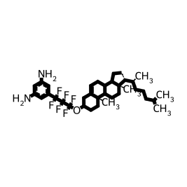 CC(C)CCC[C@@H](C)[C@H]1CCC2C3CC=C4CC(OC(F)(F)C(F)(F)C(F)(F)c5cc(N)cc(N)c5)CC[C@]4(C)C3CC[C@@]21C